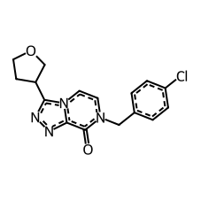 O=c1c2nnc(C3CCOC3)n2ccn1Cc1ccc(Cl)cc1